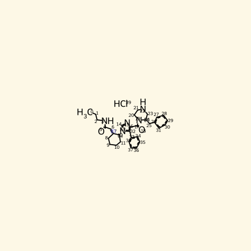 CCCNC(=O)/C=C1\CCCC[C@@H]1n1cnc(C(=O)N2CCNC[C@H]2Cc2ccccc2)c1-c1ccccc1.Cl